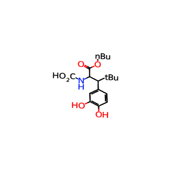 CCCCOC(=O)C(NC(=O)O)C(c1ccc(O)c(O)c1)C(C)(C)C